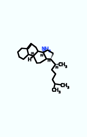 CC(C)CCC[C@@H](C)[C@H]1CC[C@@]2(N)C3CC=C4CCCCC4[C@H]3CCC12